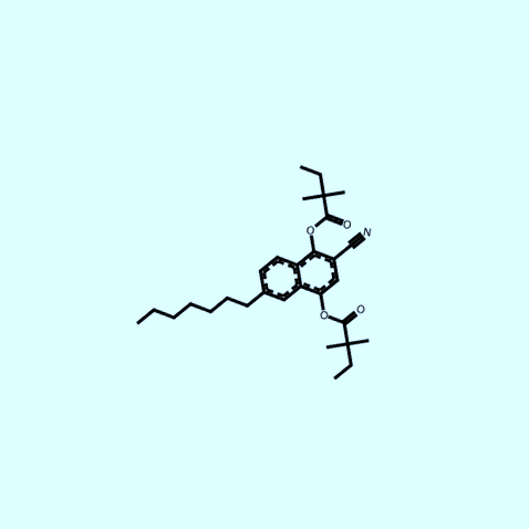 CCCCCCCc1ccc2c(OC(=O)C(C)(C)CC)c(C#N)cc(OC(=O)C(C)(C)CC)c2c1